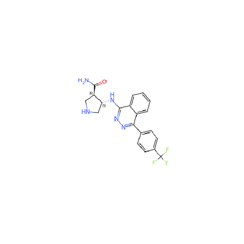 NC(=O)[C@@H]1CNC[C@H]1Nc1nnc(-c2ccc(C(F)(F)F)cc2)c2ccccc12